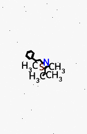 Cc1nc(CC(C)c2ccccc2)sc1C(C)C